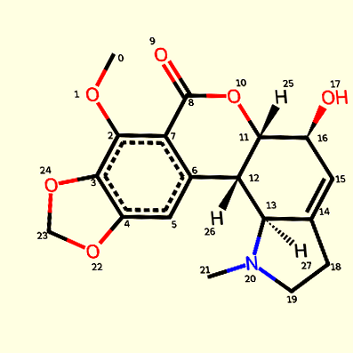 COc1c2c(cc3c1C(=O)O[C@H]1[C@@H]3[C@H]3C(=C[C@@H]1O)CCN3C)OCO2